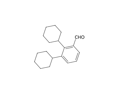 O=Cc1cccc(C2CCCCC2)c1C1CCCCC1